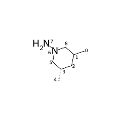 CC1C[C@H](C)CN(N)C1